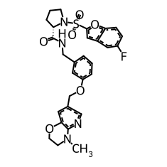 CN1CCOc2cc(COc3cccc(CNC(=O)[C@@H]4CCCN4S(=O)(=O)c4cc5cc(F)ccc5o4)c3)cnc21